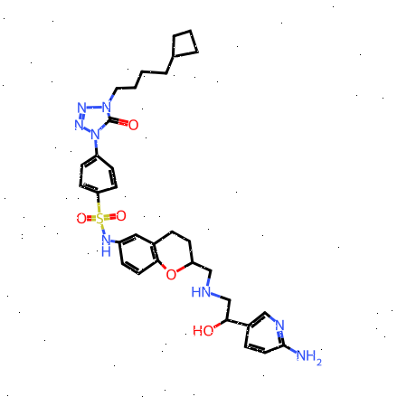 Nc1ccc(C(O)CNCC2CCc3cc(NS(=O)(=O)c4ccc(-n5nnn(CCCCC6CCC6)c5=O)cc4)ccc3O2)cn1